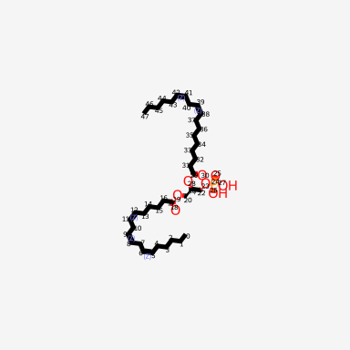 CCCCC/C=C\C/C=C\C/C=C\CCCCC(=O)OC[C@H](COP(=O)(O)O)OC(=O)CCCCCCC/C=C\C/C=C\CCCCC